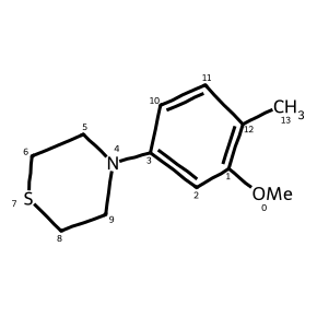 COc1cc(N2CCSCC2)ccc1C